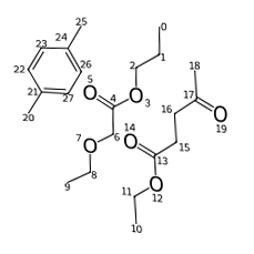 CCCOC(=O)COCC.CCOC(=O)CCC(C)=O.Cc1ccc(C)cc1